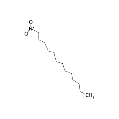 CCCCCCCCCCCCC[N+](=O)[O-]